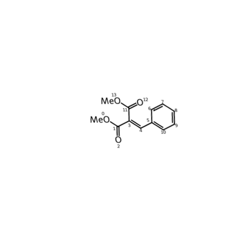 COC(=O)C(=Cc1[c]cccc1)C(=O)OC